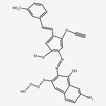 C#COc1cc(N=Nc2c(SOOO)cc3ccc(N)cc3c2O)c(OCC)cc1N=Nc1cccc(C(=O)O)c1